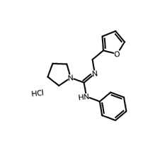 Cl.c1ccc(NC(=NCc2ccco2)N2CCCC2)cc1